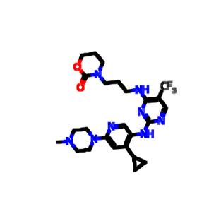 CN1CCN(c2cc(C3CC3)c(Nc3ncc(C(F)(F)F)c(NCCCN4CCCOC4=O)n3)cn2)CC1